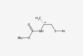 CC(=O)SC[C@@H](C)NC(=O)OC(C)(C)C